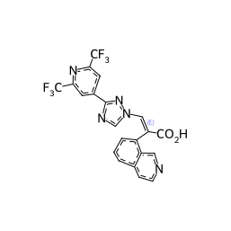 O=C(O)/C(=C/n1cnc(-c2cc(C(F)(F)F)nc(C(F)(F)F)c2)n1)c1cccc2ccncc12